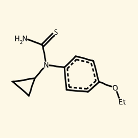 CCOc1ccc(N(C(N)=S)C2CC2)cc1